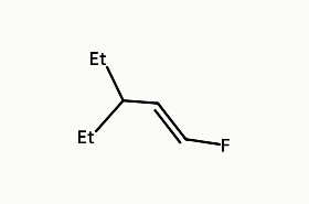 [CH2]CC(C=CF)CC